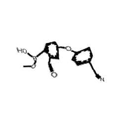 COB(O)c1ccc(Oc2ccc(C#N)cc2)cc1C=O